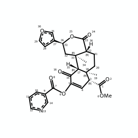 COC(=O)[C@@H]1C=C(OC(=O)c2cccnc2)C(=O)[C@H]2[C@@]1(C)CC[C@H]1C(=O)O[C@H](c3ccoc3)C[C@]21C